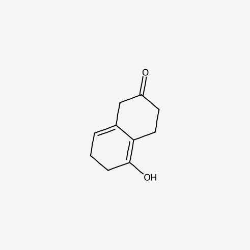 O=C1CCC2=C(O)CCC=C2C1